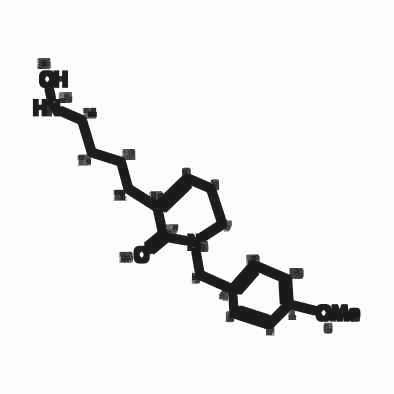 COc1ccc(CN2CCC=C(CCCCNO)C2=O)cc1